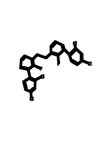 Fc1c([CH]Cc2cccc(-c3ccc(Cl)cc3Cl)c2F)cccc1-c1ccc(Cl)cc1Cl